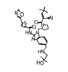 CC(C)(C)C=C(C#N)C(=O)N1CCCC1Cn1c(NC(=O)c2ccc(-c3cnco3)s2)nc2cc(CNCC(C)(C)O)ccc21